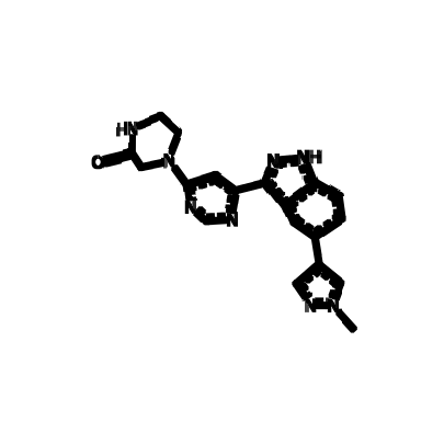 Cn1cc(-c2ccc3[nH]nc(-c4cc(N5CCNC(=O)C5)ncn4)c3c2)cn1